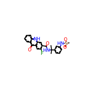 CC(C)(NC(=O)c1cc2[nH]c3ccccc3c(=O)c2cc1F)c1cccc(NS(C)(=O)=O)c1